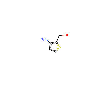 Nc1ccsc1CO